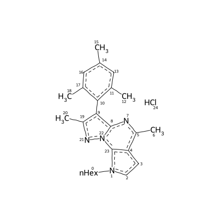 CCCCCCn1ccc2c(C)nc3c(-c4c(C)cc(C)cc4C)c(C)nn3c21.Cl